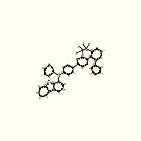 CC1(C)c2cc(-c3ccc(N(c4ccccc4)c4cccc5c4oc4ccccc45)cc3)ccc2-c2c(-c3ccccc3)cccc2C1(C)C